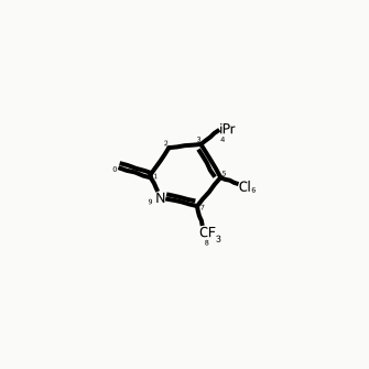 C=C1CC(C(C)C)=C(Cl)C(C(F)(F)F)=N1